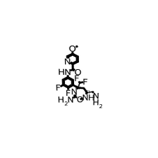 COc1ccc(C(=O)Nc2cc(F)c(F)c([C@]3(C(F)F)C[C@@H](CN)NOC(N)=N3)c2)nc1